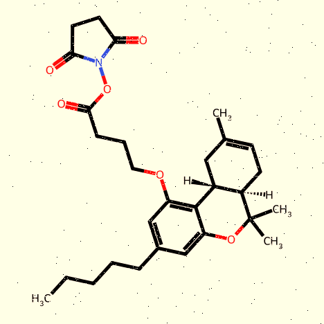 CCCCCc1cc(OCCCC(=O)ON2C(=O)CCC2=O)c2c(c1)OC(C)(C)[C@@H]1CC=C(C)C[C@@H]21